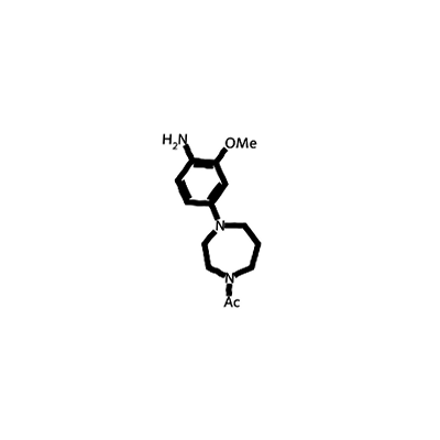 COc1cc(N2CCCN(C(C)=O)CC2)ccc1N